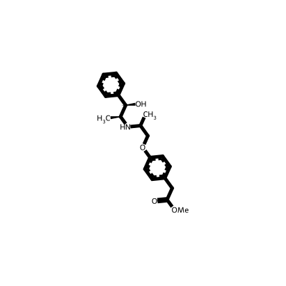 COC(=O)Cc1ccc(OCC(C)N[C@@H](C)[C@H](O)c2ccccc2)cc1